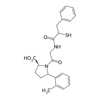 Cc1ccccc1C1CC[C@@H](C(=O)O)N1C(=O)CNC(=O)C(S)Cc1ccccc1